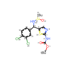 CC(C)(C)OC(=O)Nc1ncc(C(N[S@+]([O-])C(C)(C)C)c2ccc(Cl)c(Cl)c2)s1